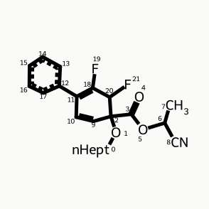 CCCCCCCOC1(C(=O)OC(C)C#N)C=CC(c2ccccc2)=C(F)C1F